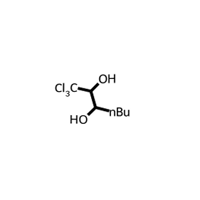 CCCCC(O)C(O)C(Cl)(Cl)Cl